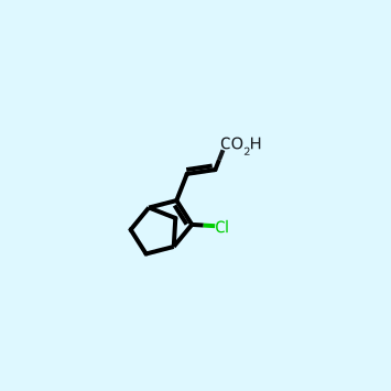 O=C(O)C=CC1=C(Cl)C2CCC1C2